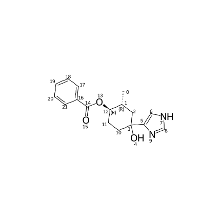 C[C@@H]1CC(O)(c2c[nH]cn2)CC[C@H]1OC(=O)c1ccccc1